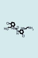 NCCNc1cc(Cl)cc(NC(=O)Nc2cccc(Cl)c2CCO)c1